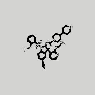 CCOc1ncccc1C1(OC(=O)N2CCC(C3CCNCC3)CC2)C(=O)N(S(=O)(=O)c2ccccc2OC)c2ccc(C#N)cc21